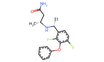 CC[C@@H](N[C@H](C)CC(N)=O)c1ccc(F)c(Oc2ccccc2)c1F